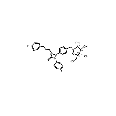 O=C1[C@@H](CCCc2ccc(F)cc2)[C@@H](c2ccc(C[C@H]3O[C@H](CO)[C@@H](O)[C@H](O)[C@H]3O)cc2)N1c1ccc(F)cc1